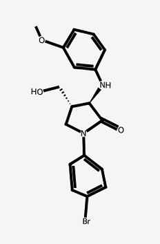 COc1cccc(N[C@H]2C(=O)N(c3ccc(Br)cc3)C[C@@H]2CO)c1